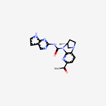 COC(=O)c1ccc2c(n1)N(C(=O)Nc1ncc3cc[nH]c3n1)[C@H]1CCN2C1